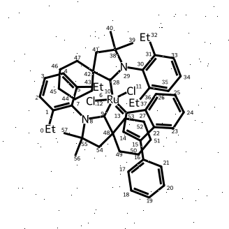 CCc1cccc(CC)c1N1[CH]([Ru]([Cl])([Cl])(=[C]2C=C(c3ccccc3)c3ccccc32)[CH]2N(c3c(CC)cccc3CC)C(C)(C)CC23CCCCC3)C2(CCCCC2)CC1(C)C